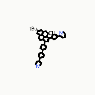 C=C1Cc2cc(C(C)(C)C)cc3ccc4c(-c5ccc(-c6ccc(-c7ccncc7)cc6)cc5)cc(-c5ccc(-c6ccccn6)cc5)c1c4c23